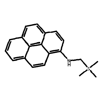 CS(C)(C)CNc1ccc2ccc3cccc4ccc1c2c34